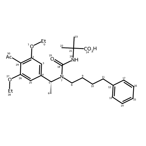 CCOc1cc([C@@H](C)N(CCCCc2ccccc2)C(=O)NC(C)(C)C(=O)O)cc(OCC)c1C(C)=O